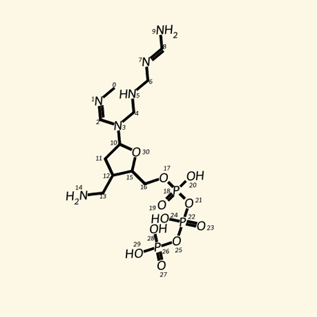 C/N=C\N(CNC/N=C/N)C1CC(CN)C(COP(=O)(O)OP(=O)(O)OP(=O)(O)O)O1